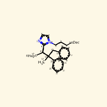 CCCCCCCCCCCCCn1ccnc1C(CCCCCCC)C(C)(Cc1ccccc1)c1ccccc1